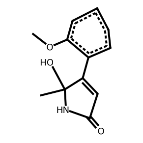 COc1ccccc1C1=CC(=O)NC1(C)O